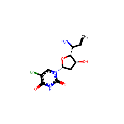 C=CC(N)[C@H]1O[C@@H](n2cc(Br)c(=O)[nH]c2=O)C[C@@H]1O